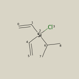 C=C[Si](Cl)(C=C)C(C)C